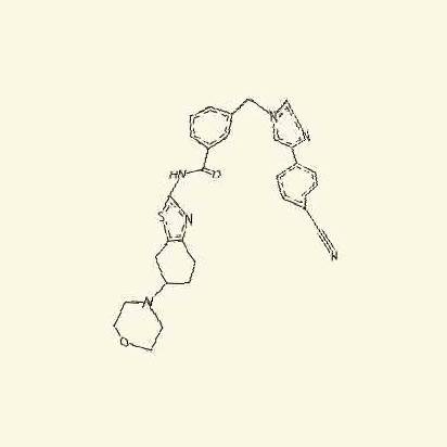 N#Cc1ccc(-c2cn(Cc3cccc(C(=O)Nc4nc5c(s4)CC(N4CCOCC4)CC5)c3)cn2)cc1